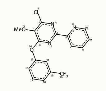 COc1c(Cl)nc(-c2ccccn2)nc1Oc1cccc(C(F)(F)F)c1